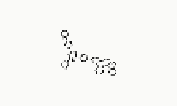 c1ccc(-c2nc(-c3ccc(-c4ccc5c(c4)c4ccccc4c4c5ccc5oc6ccccc6c54)cc3)nc(-c3ccc(-c4ccccn4)cc3)n2)cc1